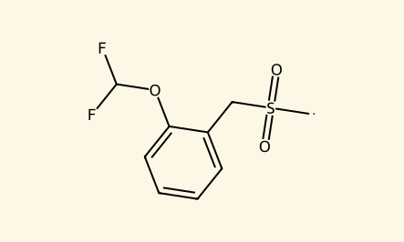 [CH2]S(=O)(=O)Cc1ccccc1OC(F)F